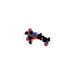 CCOC(=O)C(C)(C)NP(=O)(COc1cc(C)c(Cc2ccc(N=O)c(C(C)C)c2)c(C)c1)NC(C)(C)C(=O)OCC